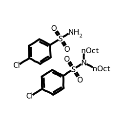 CCCCCCCCN(CCCCCCCC)S(=O)(=O)c1ccc(Cl)cc1.NS(=O)(=O)c1ccc(Cl)cc1